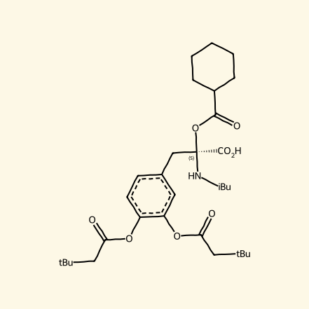 CCC(C)N[C@@](Cc1ccc(OC(=O)CC(C)(C)C)c(OC(=O)CC(C)(C)C)c1)(OC(=O)C1CCCCC1)C(=O)O